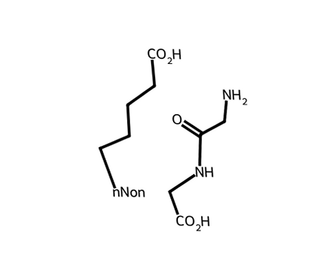 CCCCCCCCCCCCCC(=O)O.NCC(=O)NCC(=O)O